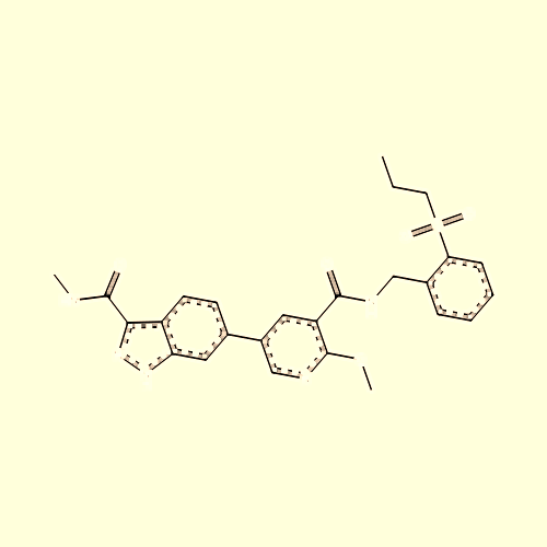 CCCS(=O)(=O)c1ccccc1CNC(=O)c1cc(-c2ccc3c(C(=O)NC)n[nH]c3c2)cnc1OC